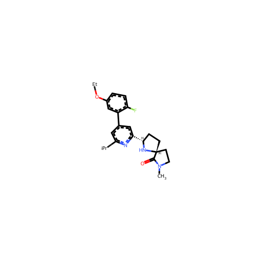 CCOc1ccc(F)c(-c2cc(C(C)C)nc([C@@H]3CC[C@]4(CCN(C)C4=O)N3)c2)c1